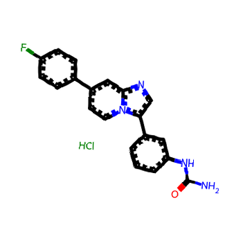 Cl.NC(=O)Nc1cccc(-c2cnc3cc(-c4ccc(F)cc4)ccn23)c1